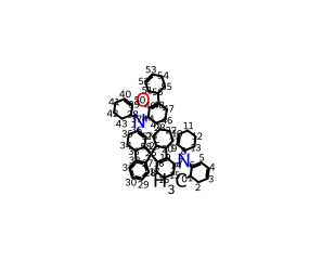 CC1CC=CC=C1N(C1C=CCCC1)[C@@H]1CCCC2=C1C1CCCCC1C21c2ccccc2C2CCC(N(C3C=CCCC3)C3CCCC4=C3OC3C=CCCC43)=CC21